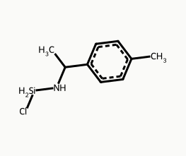 Cc1ccc(C(C)N[SiH2]Cl)cc1